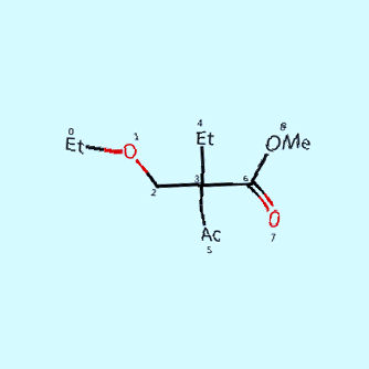 CCOCC(CC)(C(C)=O)C(=O)OC